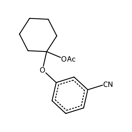 CC(=O)OC1(Oc2cccc(C#N)c2)CCCCC1